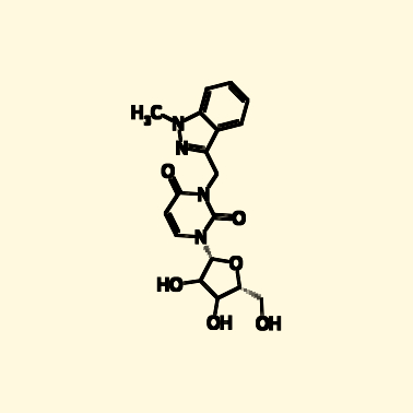 Cn1nc(Cn2c(=O)ccn([C@@H]3O[C@H](CO)C(O)C3O)c2=O)c2ccccc21